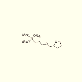 CO[Si](CCCOCC1CCCO1)(OC)OC